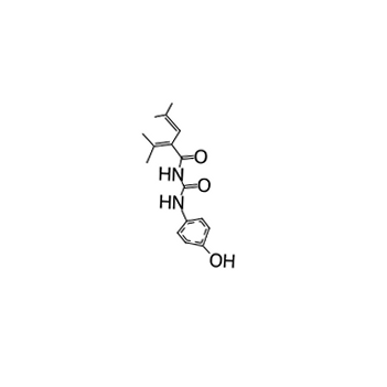 CC(C)=CC(C(=O)NC(=O)Nc1ccc(O)cc1)=C(C)C